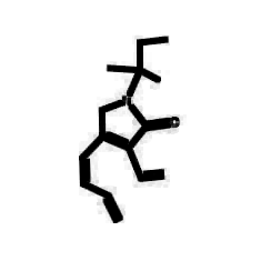 C=C/C=C\C1=C(C=C)C(=O)N(C(C)(C)CC)C1